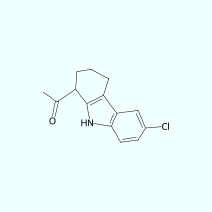 CC(=O)C1CCCc2c1[nH]c1ccc(Cl)cc21